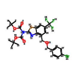 CC(C)(C)OC(=O)N(C(=O)OC(C)(C)C)c1nc2c(COCc3ccc(Br)cc3)cc(C(F)(F)F)cc2s1